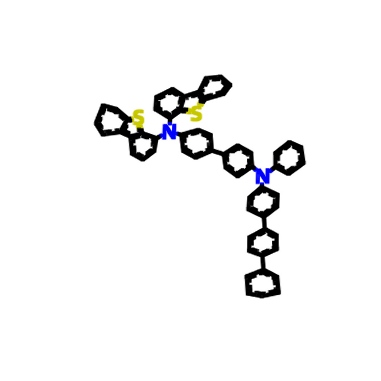 c1ccc(-c2ccc(-c3ccc(N(c4ccccc4)c4ccc(-c5ccc(N(c6cccc7c6sc6ccccc67)c6cccc7c6sc6ccccc67)cc5)cc4)cc3)cc2)cc1